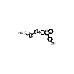 O=C(O)Cn1nnc(-c2cnc(N3CCC4(C=C(c5ccc(O)cc5)c5ccccc5O4)CC3)s2)n1